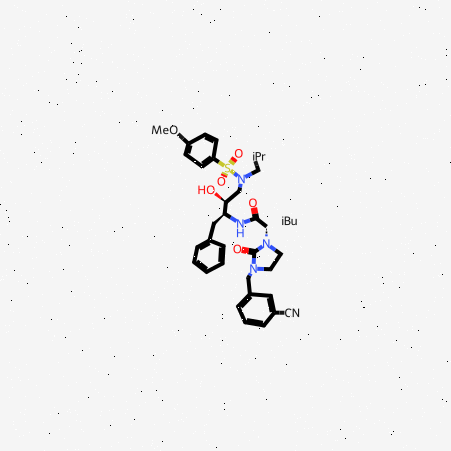 CC[C@H](C)[C@@H](C(=O)N[C@@H](Cc1ccccc1)[C@@H](O)CN(CC(C)C)S(=O)(=O)c1ccc(OC)cc1)N1CCN(Cc2cccc(C#N)c2)C1=O